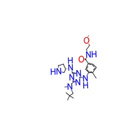 COCCNC(=O)c1ccc(C)c(Nc2nc(N[C@H]3CCNC3)nc(N(C)CC(C)(C)C)n2)c1